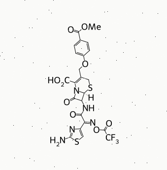 COC(=O)c1ccc(OCC2=C(C(=O)O)N3C(=O)C(NC(=O)C(=NOC(=O)C(F)(F)F)c4csc(N)n4)[C@@H]3SC2)cc1